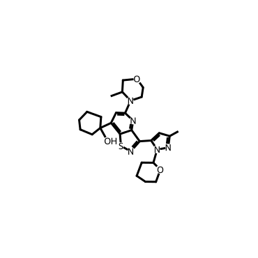 Cc1cc(-c2nsc3c(C4(O)CCCCC4)cc(N4CCOCC4C)nc23)n(C2CCCCO2)n1